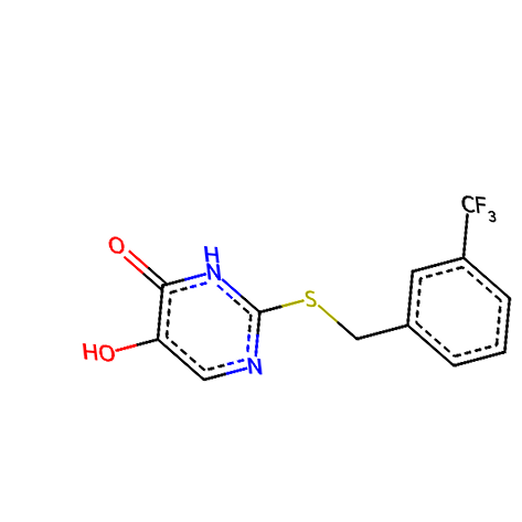 O=c1[nH]c(SCc2cccc(C(F)(F)F)c2)ncc1O